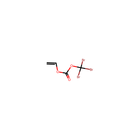 C=COC(=O)OC(Br)(Br)Br